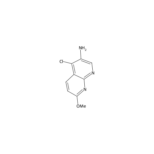 COc1ccc2c(Cl)c(N)cnc2n1